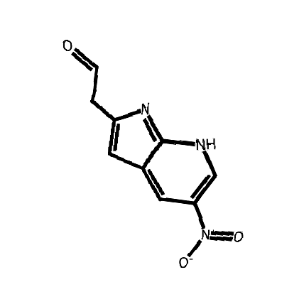 O=CCc1cc2cc([N+](=O)[O-])c[nH]c-2n1